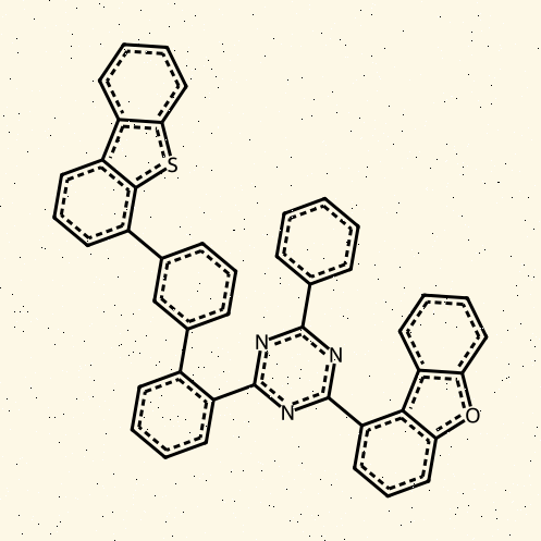 c1ccc(-c2nc(-c3ccccc3-c3cccc(-c4cccc5c4sc4ccccc45)c3)nc(-c3cccc4oc5ccccc5c34)n2)cc1